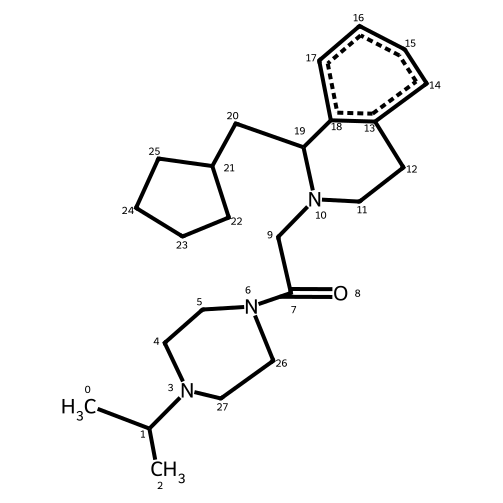 CC(C)N1CCN(C(=O)CN2CCc3ccccc3C2CC2CCCC2)CC1